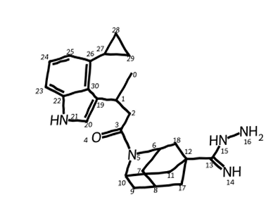 CC(CC(=O)N1C2CC3CC1CC(C(=N)NN)(C3)C2)c1c[nH]c2cccc(C3CC3)c12